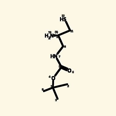 CC(C)(C)OC(=O)NC[C@@H](N)CS